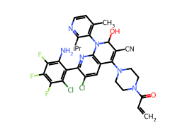 C=CC(=O)N1CCN(C2=C(C#N)C(O)N(c3c(C)ccnc3C(C)C)c3nc(-c4c(N)c(F)c(F)c(F)c4Cl)c(Cl)cc32)CC1